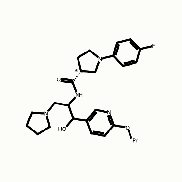 CC(C)Oc1ccc(C(O)C(CN2CCCC2)NC(=O)[C@@H]2CCN(c3ccc(F)cc3)C2)cn1